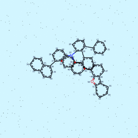 c1ccc(-c2ccccc2-c2c(-c3ccccc3)cccc2N(c2cccc(-c3cccc4ccccc34)c2)c2cccc(-c3cccc4c3oc3ccccc34)c2)cc1